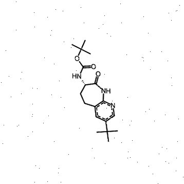 CC(C)(C)OC(=O)N[C@H]1CCc2cc(C(C)(C)C)cnc2NC1=O